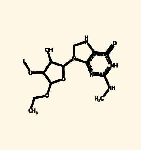 CCOC1OC(N2CNc3c2nc(NC)[nH]c3=O)C(O)C1OI